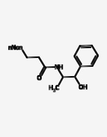 CCCCCCCCCCCC(=O)NC(C)C(O)c1ccccc1